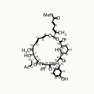 CNC(=O)/C=C/C=C(\C)[C@@H]1C/C=C/C=C/C[C@H](C)[C@@H](O)[C@@H](CCC(C)=O)C(=O)N[C@@H](C(C)C)C(=O)N[C@@H](Cc2cccc(O)c2)C(=O)N2CCCC(N2)C(=O)O1